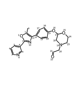 Cc1oc(-c2cccnc2)nc1-c1ccc(OC2CN(CC=O)CCO2)cc1